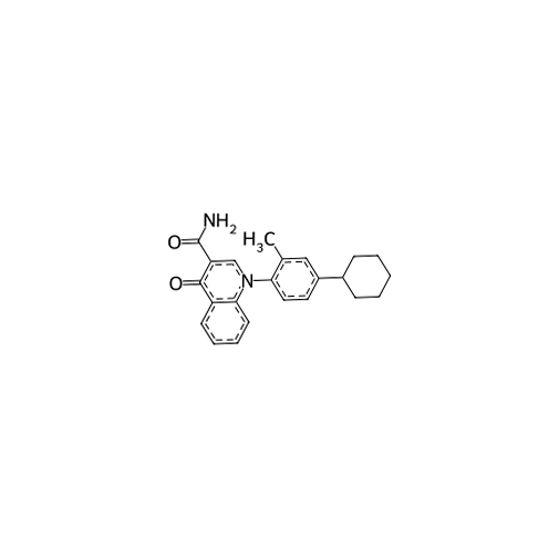 Cc1cc(C2CCCCC2)ccc1-n1cc(C(N)=O)c(=O)c2ccccc21